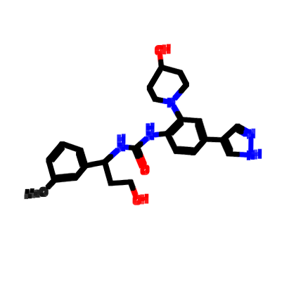 COc1cccc(C(CCO)NC(=O)Nc2ccc(-c3cn[nH]c3)cc2N2CCC(O)CC2)c1